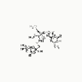 CC#CC1(O)C(CO)[C@@H](COP(=O)(O)OP(=O)(O)OP(=O)(O)O)O[C@H]1n1ccc2c(=O)[nH]c(N)nc21